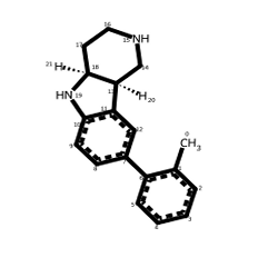 Cc1ccccc1-c1ccc2c(c1)[C@@H]1CNCC[C@@H]1N2